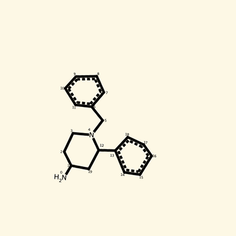 NC1CCN(Cc2ccccc2)C(c2ccccc2)C1